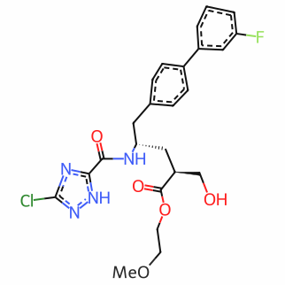 COCCOC(=O)[C@H](CO)C[C@@H](Cc1ccc(-c2cccc(F)c2)cc1)NC(=O)c1nc(Cl)n[nH]1